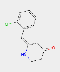 O=C1CCNC(=Cc2ccccc2Cl)C1